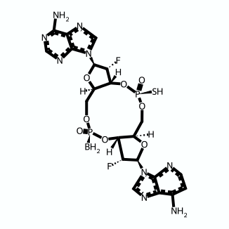 B[P@@]1(=O)OC[C@H]2O[C@@H](n3cnc4c(N)ncnc43)[C@H](F)[C@@H]2O[P@@](=O)(S)OC[C@H]2O[C@@H](n3cnc4c(N)ccnc43)[C@H](F)[C@@H]2O1